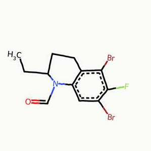 CCC1CCc2c(cc(Br)c(F)c2Br)N1C=O